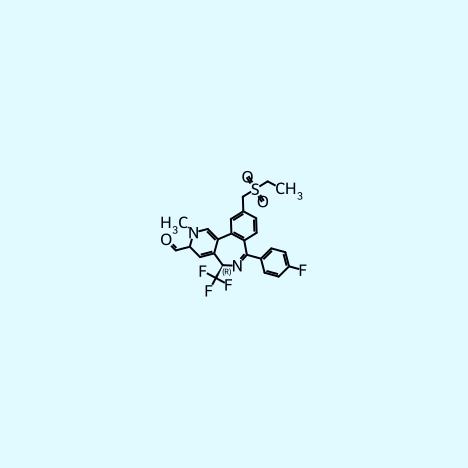 CCS(=O)(=O)Cc1ccc2c(c1)C1=CN(C)C(C=O)C=C1[C@H](C(F)(F)F)N=C2c1ccc(F)cc1